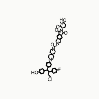 O=C1CCC(N2C(=O)c3cc4c(cc3C2=O)CN(CC(=O)N2CCC3(CC2)CCN(c2ccc(C(=C(CCCl)c5ccc(F)cc5)c5ccc(O)cc5)cc2)CC3)C4)C(=O)N1